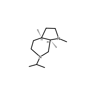 CC(C)N1CC[C@@]2(C)CCN(C)[C@@]2(C)C1